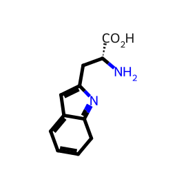 N[C@H](CC1=CC2=CC=CCC2=N1)C(=O)O